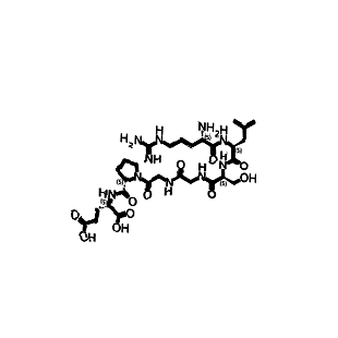 CC(C)C[C@H](NC(=O)[C@@H](N)CCCNC(=N)N)C(=O)N[C@@H](CO)C(=O)NCC(=O)NCC(=O)N1CCC[C@H]1C(=O)N[C@@H](CCC(=O)O)C(=O)O